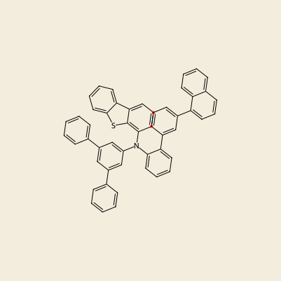 c1ccc(-c2cc(-c3ccccc3)cc(N(c3ccccc3-c3cccc(-c4cccc5ccccc45)c3)c3cccc4c3sc3ccccc34)c2)cc1